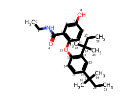 CCNC(=O)c1cc(O)ccc1Oc1ccc(C(C)(C)CC)cc1C(C)(C)CC